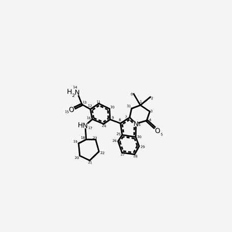 CC1(C)CC(=O)n2c(c(-c3ccc(C(N)=O)c(NC4CCCCC4)c3)c3ccccc32)C1